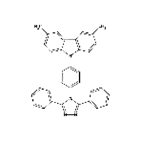 Cc1ccc2c(c1)c1cc(C)ccc1n2-c1ccc(-n2c(-c3ccccc3)nnc2-c2ccccc2)cc1